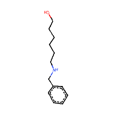 OCCCCCCNCc1ccccc1